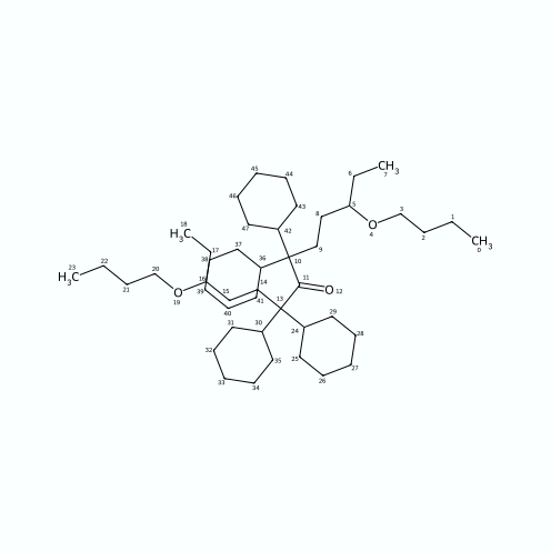 CCCCOC(CC)CCC(C(=O)C(CCC(CC)OCCCC)(C1CCCCC1)C1CCCCC1)(C1CCCCC1)C1CCCCC1